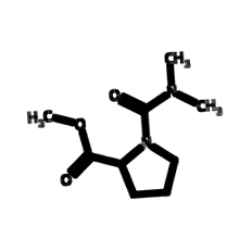 COC(=O)C1CCCN1C(=O)N(C)C